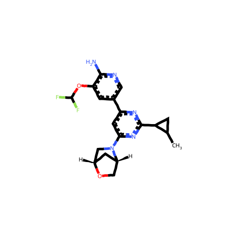 CC1CC1c1nc(-c2cnc(N)c(OC(F)F)c2)cc(N2C[C@@H]3C[C@H]2CO3)n1